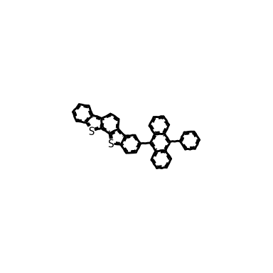 c1ccc(-c2c3ccccc3c(-c3ccc4sc5c(ccc6c7ccccc7sc65)c4c3)c3ccccc23)cc1